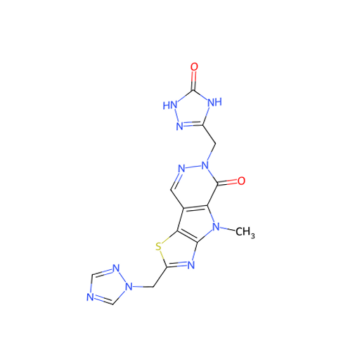 Cn1c2nc(Cn3cncn3)sc2c2cnn(Cc3n[nH]c(=O)[nH]3)c(=O)c21